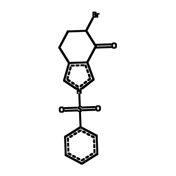 O=C1c2cn(S(=O)(=O)c3ccccc3)cc2CCC1Br